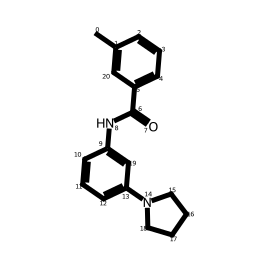 Cc1cccc(C(=O)Nc2cccc(N3CCCC3)c2)c1